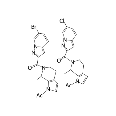 CC(=O)n1ccc2c1C(C)N(C(=O)c1cc3ccc(Br)cn3n1)CC2.CC(=O)n1ccc2c1C(C)N(C(=O)c1cc3ccc(Cl)cn3n1)CC2